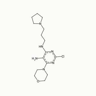 Nc1c(NCCCN2CCCC2)nc(Cl)nc1N1CCOCC1